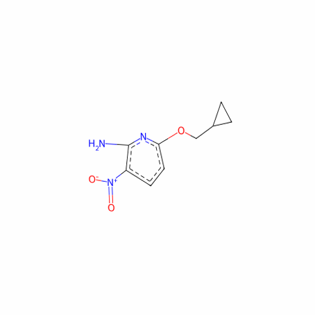 Nc1nc(OCC2CC2)ccc1[N+](=O)[O-]